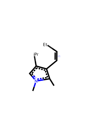 CC/C=C\c1c(C(C)C)cn(C)c1C